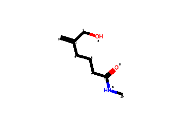 C=C(CO)CCCC(=O)NC